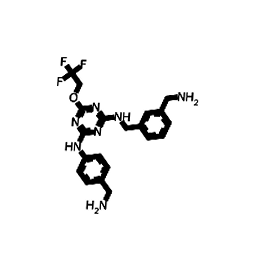 NCc1ccc(Nc2nc(NCc3cccc(CN)c3)nc(OCC(F)(F)F)n2)cc1